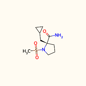 CS(=O)(=O)N1CCC[C@@]1(CC1CC1)C(N)=O